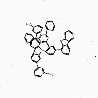 Cc1cccc(-c2ccc3c4ccc(-c5cccc(C)c5)cc4n(-c4ccc(-c5cccc6c5oc5ccccc56)cc4-c4nc(-c5ccccc5)nc(-c5ccccc5)n4)c3c2)c1